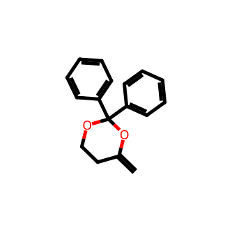 C=C1CCOC(c2ccccc2)(c2ccccc2)O1